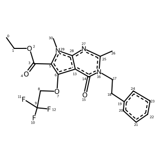 CCOC(=O)c1c(OCC(F)(F)F)c2c(=O)n(CCc3ccccc3)c(C)nc2n1C